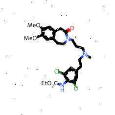 CCOC(=O)Nc1c(Cl)cc(CCN(C)CCCN2CCc3cc(OC)c(OC)cc3CC2=O)cc1Cl